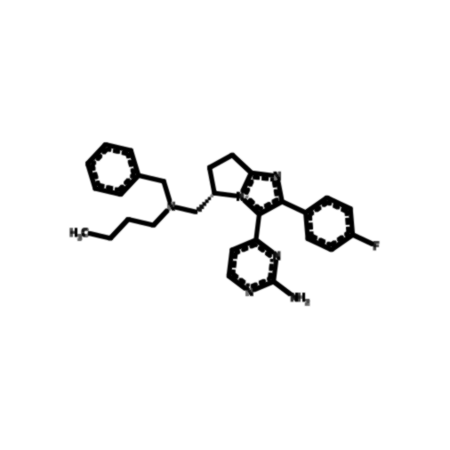 CCCCN(Cc1ccccc1)C[C@@H]1CCc2nc(-c3ccc(F)cc3)c(-c3ccnc(N)n3)n21